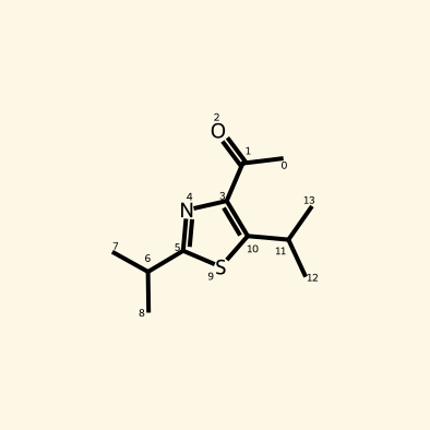 CC(=O)c1nc(C(C)C)sc1C(C)C